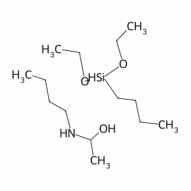 CCCCNC(C)O.CCCC[SiH](OCC)OCC